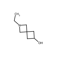 CCN1CC2(CC(O)C2)C1